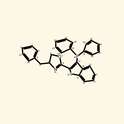 c1ccc(CC2COC(c3sc4ccccc4c3P(c3ccccc3)c3ccccc3)=N2)cc1